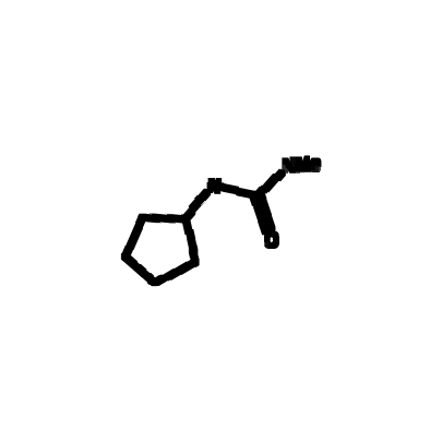 [CH2]NC(=O)[N]C1CCCC1